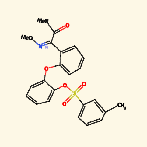 CNC(=O)/C(=N\OC)c1ccccc1Oc1ccccc1OS(=O)(=O)c1cccc(C)c1